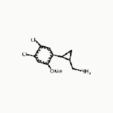 COc1cc(Cl)c(Cl)cc1C1CC1CN